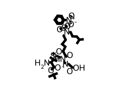 CC(C)CCCN(CCCCC(O[Si](C)(C)C(C)(C)C(N)C(=O)OC(C)(C)C)C(=O)NN(C)CC(=O)O)S(=O)(=O)c1ccccc1[N+](=O)[O-]